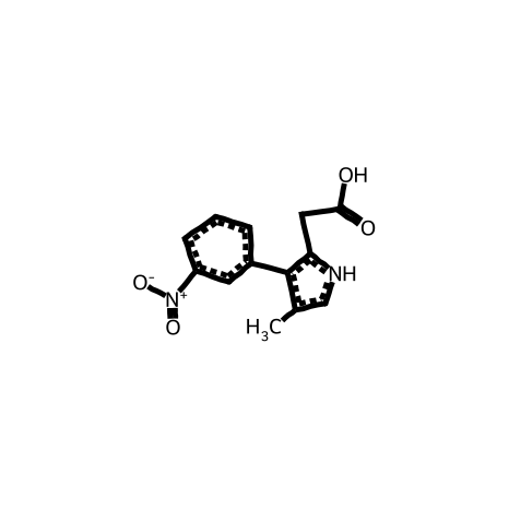 Cc1c[nH]c(CC(=O)O)c1-c1cccc([N+](=O)[O-])c1